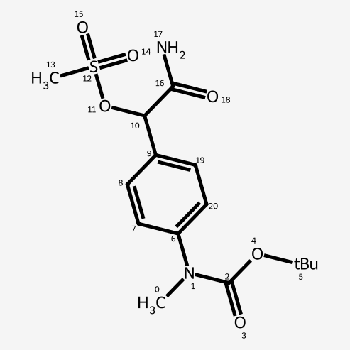 CN(C(=O)OC(C)(C)C)c1ccc(C(OS(C)(=O)=O)C(N)=O)cc1